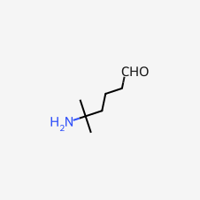 CC(C)(N)CCCC=O